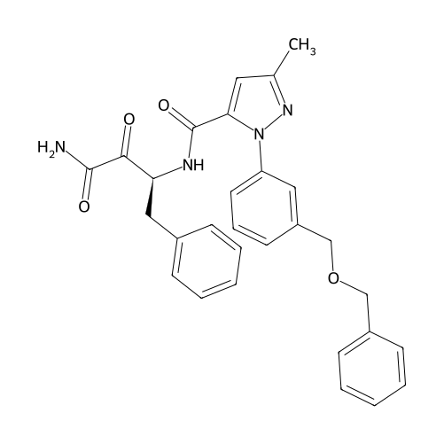 Cc1cc(C(=O)N[C@@H](Cc2ccccc2)C(=O)C(N)=O)n(-c2cccc(COCc3ccccc3)c2)n1